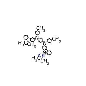 C=C/C=C(\C=C/C)n1c2ccccc2c2cc(N(c3ccc(C)cc3)c3ccc(N(c4ccc(C)cc4)c4ccc5c(c4)-c4ccccc4C5(C)C)cc3)ccc21